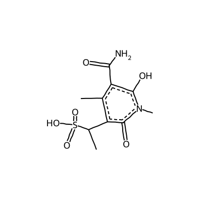 Cc1c(C(N)=O)c(O)n(C)c(=O)c1C(C)S(=O)(=O)O